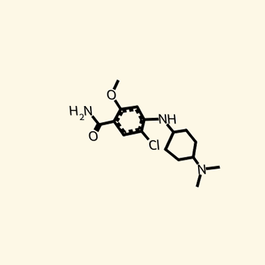 COc1cc(NC2CCC(N(C)C)CC2)c(Cl)cc1C(N)=O